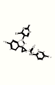 CCc1nc(C)ncc1OC[C@@]1(C2C=CC(F)=CC2)C[C@H]1C(=O)Nc1ccc(F)cn1